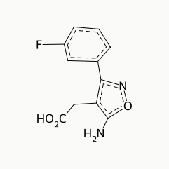 Nc1onc(-c2cccc(F)c2)c1CC(=O)O